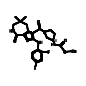 CC1(C)CNC(=O)c2sc(Nc3ccc(I)cc3F)c(C(=O)N3CC[C@@H](NC(=O)OC(C)(C)C)C3)c2C1